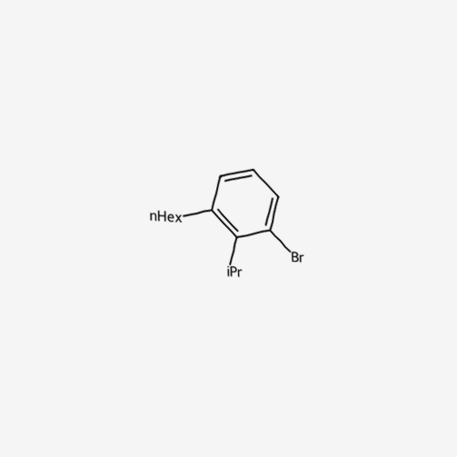 CCCCCCc1cccc(Br)c1C(C)C